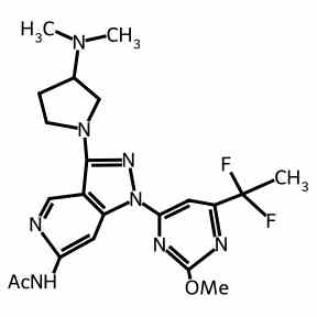 COc1nc(-n2nc(N3CCC(N(C)C)C3)c3cnc(NC(C)=O)cc32)cc(C(C)(F)F)n1